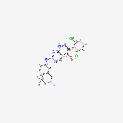 CN1Cc2cc(Nc3ncc4c(=O)c(-c5c(Cl)cccc5Cl)c[nH]c4n3)ccc2C(C)(C)C1